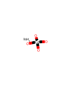 [InH3].[O]=[Cd](=[O])(=[O])=[O]